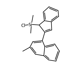 Cc1cc(C2=Cc3ccccc3C2[Si](C)(C)Cl)c2ccccc2c1